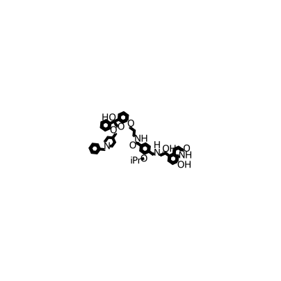 CC(C)Oc1cc(C(=O)NCCCOc2cccc(C(O)(C(=O)OCC3CCN(Cc4ccccc4)CC3)c3ccccc3)c2)ccc1CNC[C@H](O)c1ccc(O)c2[nH]c(=O)ccc12